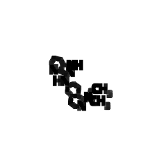 CCN(C)c1nccc2cc(Nc3n[nH]c4cccnc34)ccc12